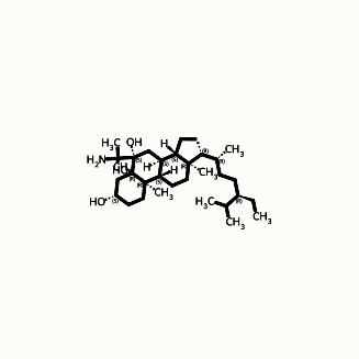 CC[C@H](CC[C@@H](C)[C@H]1CC[C@H]2[C@@H]3C[C@](O)(C(C)(C)N)[C@@]4(O)C[C@@H](O)CC[C@]4(C)[C@H]3CC[C@]12C)C(C)C